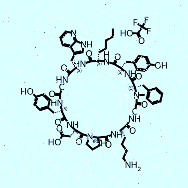 CCCCC[C@@H]1NC(=O)[C@H](Cc2ccc(O)cc2)NC(=O)[C@H](Cc2ccccc2)N(C)C(=O)CNC(=O)[C@H](CCCCN)NC(=O)[C@H]2CCCN2C(=O)[C@H](CC(=O)O)NC(=O)[C@H](Cc2ccc(O)cc2)NC(=O)CNC(=O)[C@H](Cc2c[nH]c3ncccc23)NC1=O.O=C(O)C(F)(F)F